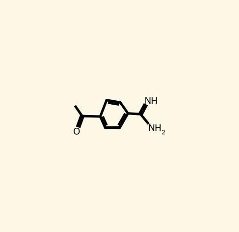 CC(=O)c1ccc(C(=N)N)cc1